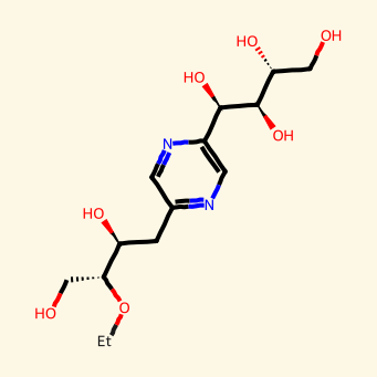 CCO[C@H](CO)[C@@H](O)Cc1cnc([C@@H](O)[C@H](O)[C@H](O)CO)cn1